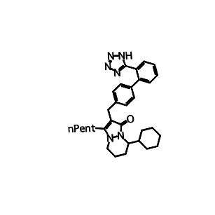 CCCCCc1c(Cc2ccc(-c3ccccc3-c3nnn[nH]3)cc2)c(=O)n2n1CCCC2C1CCCCC1